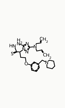 C=CCN(CC=C)c1nc(N)n(C(CCOc2cccc(CN3CCCCC3)c2)C([NH])=S)n1